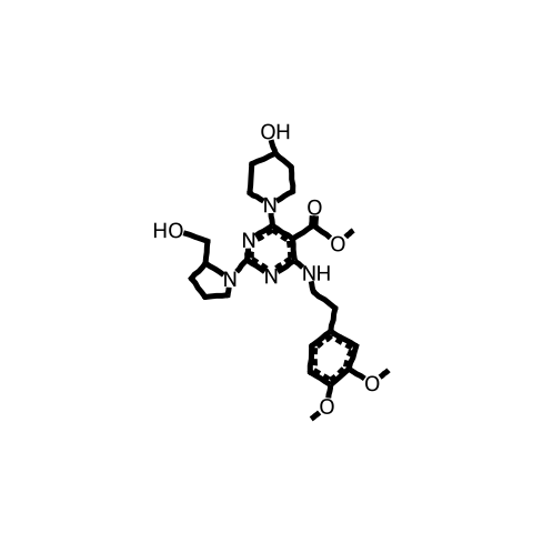 COC(=O)c1c(NCCc2ccc(OC)c(OC)c2)nc(N2CCCC2CO)nc1N1CCC(O)CC1